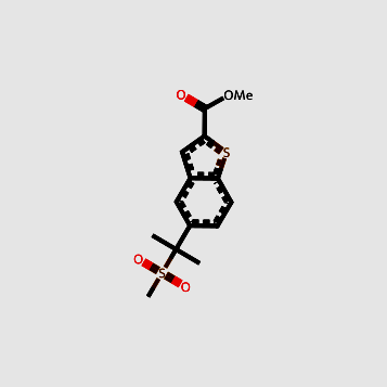 COC(=O)c1cc2cc(C(C)(C)S(C)(=O)=O)ccc2s1